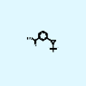 O=C(O)c1cccc(C2CC2C(F)(F)F)c1